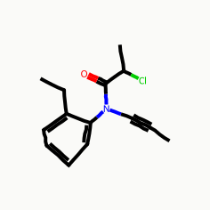 CC#CN(C(=O)C(C)Cl)c1ccccc1CC